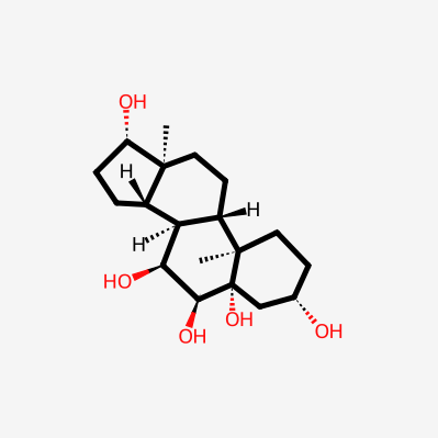 C[C@]12CC[C@H]3[C@@H]([C@H](O)[C@H](O)[C@]4(O)C[C@@H](O)CC[C@]34C)[C@@H]1CC[C@@H]2O